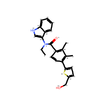 CCN(C(=O)c1ccc(-c2ccc(CO)s2)c(C)c1C)c1c[nH]c2ccccc12